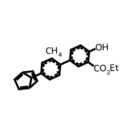 C.CCOC(=O)c1cc(-c2ccc(C3C4=CC=C3C=C4)cc2)ccc1O